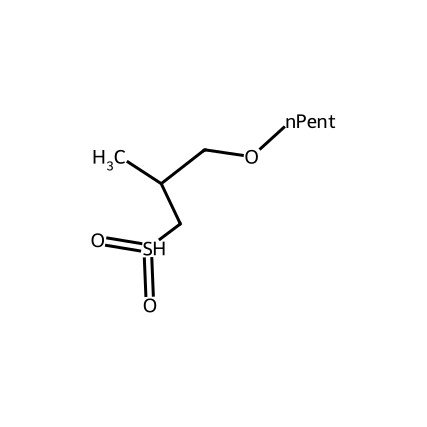 C[CH]CCCOCC(C)C[SH](=O)=O